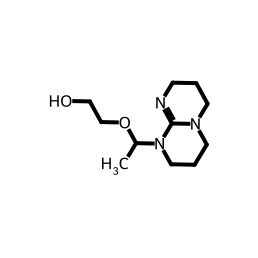 CC(OCCO)N1CCCN2CCCN=C21